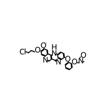 COc1cc2c(Nc3ccc(Oc4ccccc4OCN(C)C=O)cc3)c(C#N)cnc2cc1OCCCCl